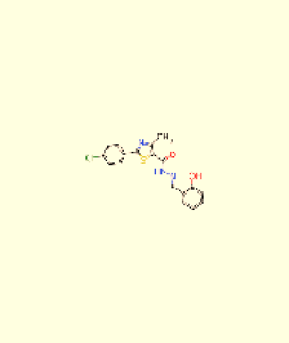 Cc1nc(-c2ccc(Cl)cc2)sc1C(=O)N/N=C/c1ccccc1O